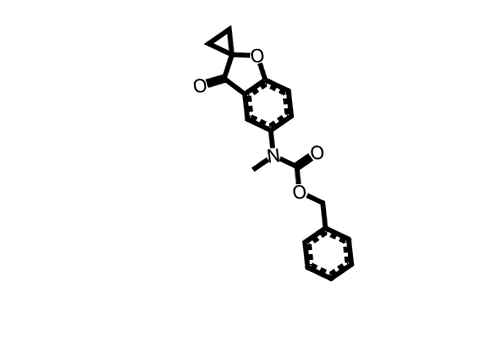 CN(C(=O)OCc1ccccc1)c1ccc2c(c1)C(=O)C1(CC1)O2